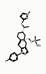 CC(Sc1ccn(C)n1)[C@H]1CCC2=Cc3c(cnn3-c3ccc(F)cc3)C[C@]2(CO[Si](C)(C)C(C)(C)C)C1